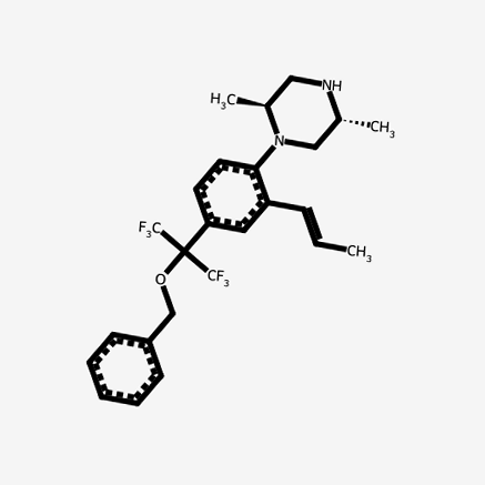 CC=Cc1cc(C(OCc2ccccc2)(C(F)(F)F)C(F)(F)F)ccc1N1C[C@@H](C)NC[C@@H]1C